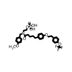 COc1ccc(CN(CCOP(=O)(O)O)C(=O)CCCCc2ccc(OCCc3ccc(OC(F)(F)F)cc3)cc2)cc1